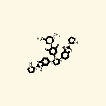 CC1C[C@H](C)CN(c2c(F)cc(N3[C@@H](c4ccc5nc([C@@H]6CCCN6)[nH]c5c4)CC[C@@H]3c3ccc4nc([C@@H]5CCCN5)[nH]c4c3)cc2F)C1